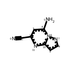 N#Cc1cc(N)n2nccc2n1